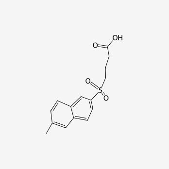 Cc1ccc2cc(S(=O)(=O)CCCC(=O)O)ccc2c1